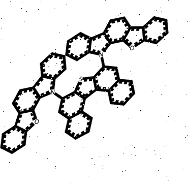 c1ccc2c(c1)cc(-n1c3ccccc3c3ccc4c5ccccc5oc4c31)c1sc3c(-n4c5ccccc5c5ccc6c7ccccc7oc6c54)cc4ccccc4c3c12